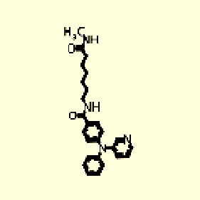 CNC(=O)CCCCCCNC(=O)c1ccc(N(c2ccccc2)c2cccnc2)cc1